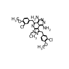 CCn1nc(Cc2ccc(OC)c(Cl)c2)c2c3c(N)nnc(N)c3c(Cc3ccc(OC)c(Cl)c3)nc21